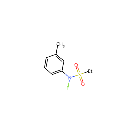 CCS(=O)(=O)N(F)c1cccc(C)c1